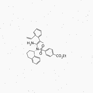 C=Cc1ccccc1/C(C)=C(\N)N([C@H]1CCCc2ccccc21)S(=O)(=O)c1ccc(C(=O)OCC)cc1